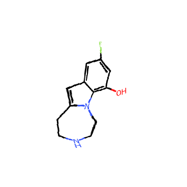 Oc1cc(F)cc2cc3n(c12)CCNCC3